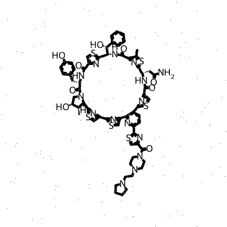 Cc1sc2nc1C(=O)N[C@@H]([C@H](O)c1ccccc1)c1nc(cs1)C(=O)N[C@@H](Cc1ccc(O)cc1)C(=O)N1C[C@H](O)[C@H](C)[C@H]1c1nc(cs1)-c1nc(cs1)-c1nc(-c3nc(C(=O)N4CCN(CCN5CCCC5)CC4)cs3)ccc1-c1nc(cs1)C(=O)N[C@H]2CC(N)=O